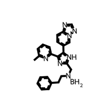 BN(CCc1ccccc1)Cc1nc(-c2cccc(C)n2)c(-c2ccc3ncnn3c2)[nH]1